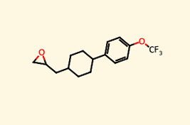 FC(F)(F)Oc1ccc(C2CCC(CC3CO3)CC2)cc1